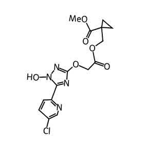 COC(=O)C1(COC(=O)COc2nc(-c3ccc(Cl)cn3)n(O)n2)CC1